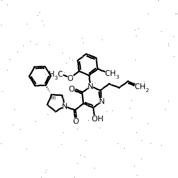 C=CCCc1nc(O)c(C(=O)N2CC[C@H](c3ccccc3)C2)c(=O)n1-c1c(C)cccc1OC